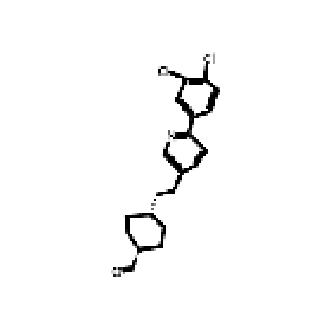 O=C[C@H]1CC[C@H](CCc2ccc(-c3ccc(Cl)c(Cl)c3)nc2)CC1